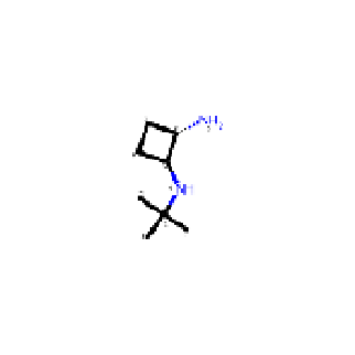 CC(C)(C)NC1CC[C@@H]1N